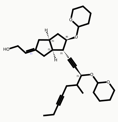 CCC#CCC(C)[C@@H](C#C[C@@H]1[C@H]2C/C(=C/CO)C[C@H]2C[C@H]1OC1CCCCO1)OC1CCCCO1